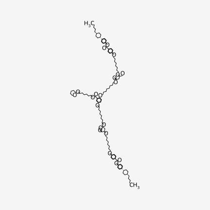 CCCCC[C@H]1CC[C@H](c2ccc(OC(=O)c3ccc(OCCCCCCCCOC(C=O)CC(=O)OCCCCCCCCOc4ccc(OCCCCCCCCOC(=O)CC(C=O)OCCCCCCCCOc5ccc(C(=O)Oc6ccc([C@H]7CC[C@H](CCCCC)CC7)cc6)cc5)c(C(=O)OCCCCCCOC5CCCCO5)c4)cc3)cc2)CC1